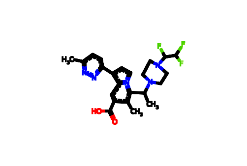 Cc1ccc(-c2ccn3c(C(C)N4CCN(C(F)C(F)F)CC4)c(C)c(C(=O)O)cc23)nn1